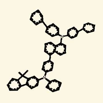 CC1(C)c2ccccc2-c2ccc(N(c3ccccc3)c3ccc(-c4cccc5c(N(c6ccc(-c7ccccc7)cc6)c6ccc(-c7ccccc7)cc6)cccc45)cc3)cc21